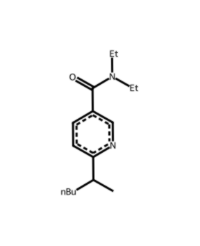 CCCCC(C)c1ccc(C(=O)N(CC)CC)cn1